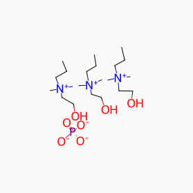 CCC[N+](C)(C)CCO.CCC[N+](C)(C)CCO.CCC[N+](C)(C)CCO.O=P([O-])([O-])[O-]